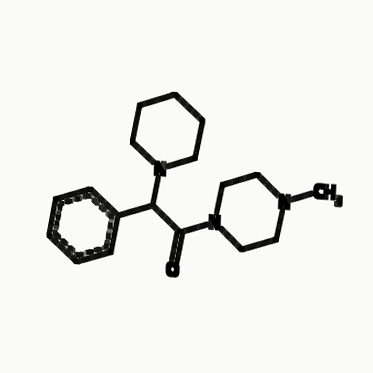 CN1CCN(C(=O)C(c2ccccc2)N2CCCCC2)CC1